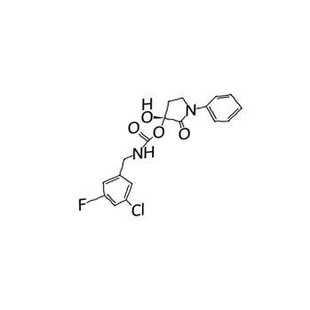 O=C(NCc1cc(F)cc(Cl)c1)O[C@]1(O)CCN(c2ccccc2)C1=O